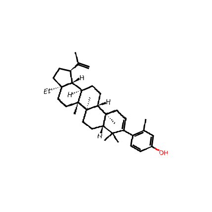 C=C(C)[C@@H]1CC[C@]2(CC)CC[C@]3(C)[C@H](CC[C@@H]4[C@@]5(C)CC=C(c6ccc(O)cc6C)C(C)(C)[C@@H]5CC[C@]43C)[C@@H]12